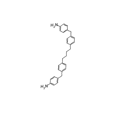 Nc1ccc(Cc2ccc(CCCCc3ccc(Cc4ccc(N)cc4)cc3)cc2)cc1